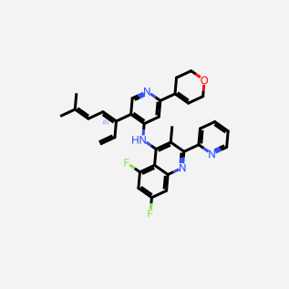 C=C/C(=C\C=C(C)C)c1cnc(C2=CCOCC2)cc1Nc1c(C)c(-c2ccccn2)nc2cc(F)cc(F)c12